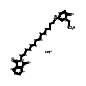 Cl.O=C(O)Cn1cc(NCCCCCCCCCCCCCCN2C(=O)c3ccccc3C2=O)ccc1=O